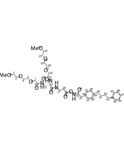 COCCOCCOCC(=O)NC[C@H](NC(=O)COCCOCCOC)C(=O)NCCC(=O)ONC(=O)Cc1ccc(CCCCc2ccccc2)cc1